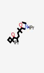 CC(CCC(C)(C)C1CN(C(C)C)CCO1)C(=O)C1(C(C)C)CCC1